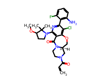 C=CC(=O)N1CCN2C(=O)c3c(N4CCC(OC)C4(C)C)nc(-c4c(N)cccc4F)c(Cl)c3OC[C@H]2C1